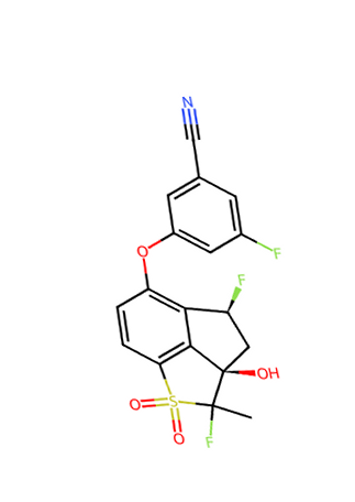 CC1(F)[C@@]2(O)C[C@H](F)c3c(Oc4cc(F)cc(C#N)c4)ccc(c32)S1(=O)=O